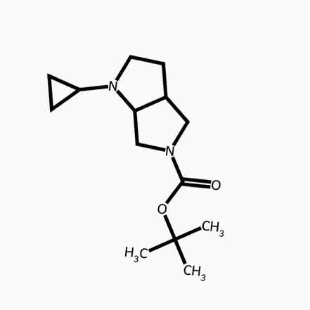 CC(C)(C)OC(=O)N1CC2CCN(C3CC3)C2C1